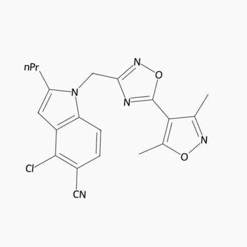 CCCc1cc2c(Cl)c(C#N)ccc2n1Cc1noc(-c2c(C)noc2C)n1